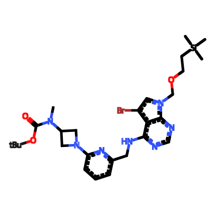 CN(C(=O)OC(C)(C)C)C1CN(c2cccc(CNc3ncnc4c3c(Br)cn4COCC[Si](C)(C)C)n2)C1